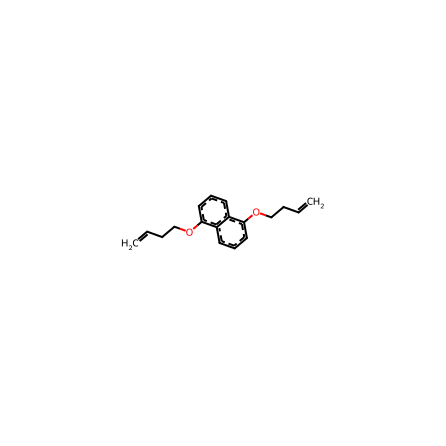 C=CCCOc1cccc2c(OCCC=C)cccc12